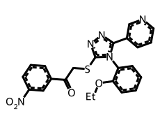 CCOc1ccccc1-n1c(SCC(=O)c2cccc([N+](=O)[O-])c2)nnc1-c1cccnc1